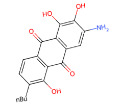 CCCCc1ccc2c(c1O)C(=O)c1cc(N)c(O)c(O)c1C2=O